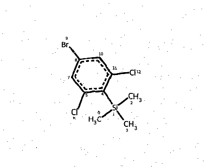 C[Si](C)(C)c1c(Cl)cc(Br)cc1Cl